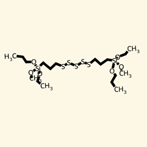 CCCO[Si](CCCSSSSSCCC[Si](OC)(OCC)OCCC)(OC)OCC